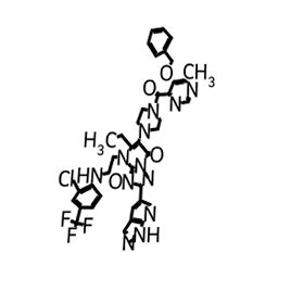 CCc1c(N2CCN(C(=O)c3ncnc(C)c3OCc3ccccc3)CC2)c(=O)n2nc(-c3cnc4[nH]ncc4c3)nc2n1CC(=O)Nc1ccc(C(F)(F)F)cc1Cl